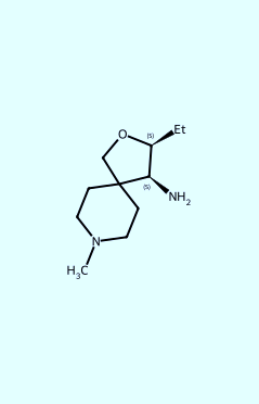 CC[C@@H]1OCC2(CCN(C)CC2)[C@@H]1N